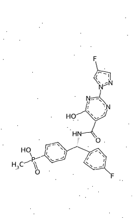 CP(=O)(O)c1ccc([C@H](NC(=O)c2cnc(-n3cc(F)cn3)nc2O)c2ccc(F)cc2)cc1